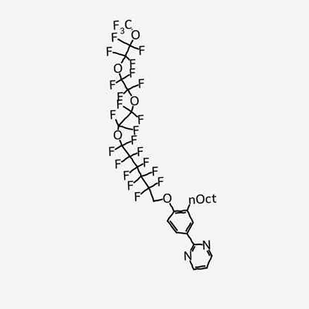 CCCCCCCCc1cc(-c2ncccn2)ccc1OCC(F)(F)C(F)(F)C(F)(F)C(F)(F)C(F)(F)OC(F)(F)C(F)(F)OC(F)(F)C(F)(F)OC(F)(F)C(F)(F)OC(F)(F)F